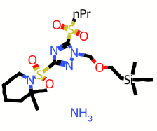 CCCS(=O)(=O)c1nc(S(=O)(=O)N2CCCCC2(C)C)nn1COCC[Si](C)(C)C.N